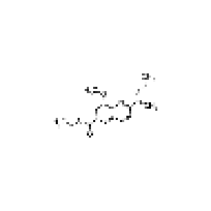 C=C(OCC)c1ccc2cc(C(=O)OCC)cc(OC)c2n1